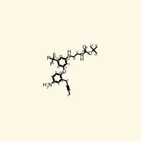 CC#CCc1cc(N)ccc1Oc1cc(NCCNC(=O)OC(C)(C)C)cc(C(F)(F)F)c1